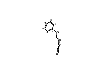 C=C=C=CC=Cc1ccccc1